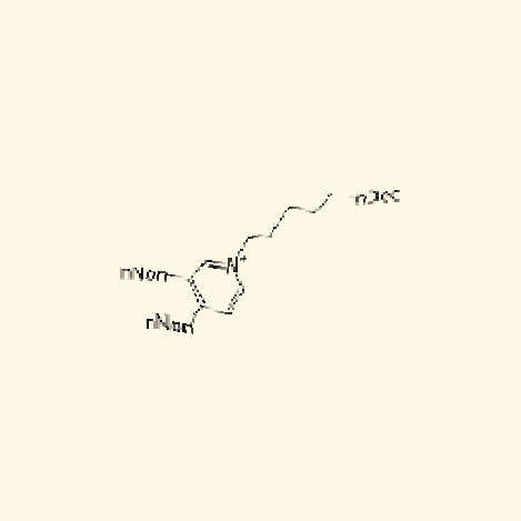 CCCCCCCCCCCCCCC[n+]1ccc(CCCCCCCCC)c(CCCCCCCCC)c1